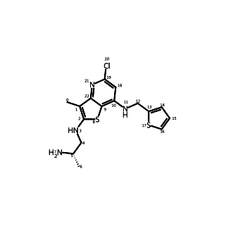 Cc1c(NC[C@H](C)N)sc2c(NCc3cccs3)cc(Cl)nc12